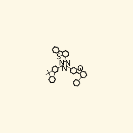 CC1(C)c2ccccc2-c2cc(-c3nc(-c4ccc5c(c4)oc4cccc(-c6ccccc6)c45)nc(-c4cccc5c4sc4ccccc45)n3)ccc21